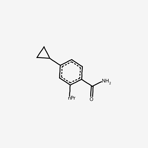 CCCc1cc(C2CC2)ccc1C(N)=O